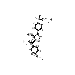 CC(C)(C(=O)O)c1ccc(C2CS/C(=C(/N)c3ccc(N)cc3)C2=N)cc1